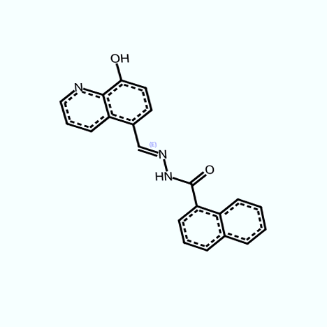 O=C(N/N=C/c1ccc(O)c2ncccc12)c1cccc2ccccc12